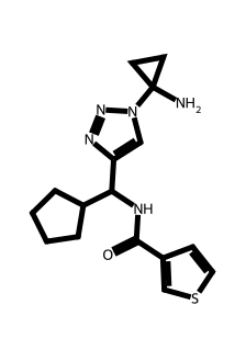 NC1(n2cc(C(NC(=O)c3ccsc3)C3CCCC3)nn2)CC1